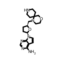 Nc1ncnc2c1ccn2[C@H]1CC[C@@H](CN2CCOCC23CCNCC3)O1